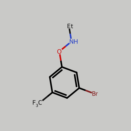 CCNOc1cc(Br)cc(C(F)(F)F)c1